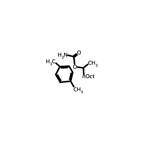 CCCCCCCCC(C)OC(N)=O.Cc1ccc(C)cc1